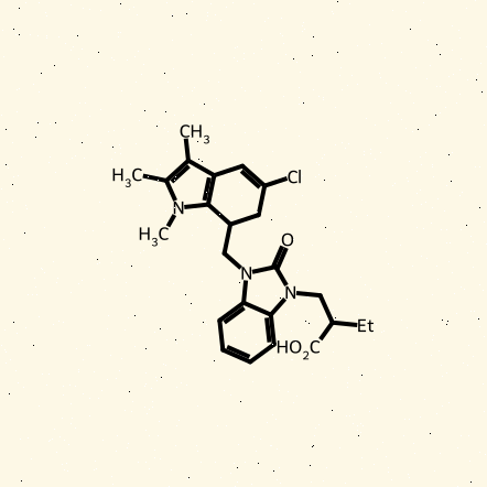 CCC(Cn1c(=O)n(CC2CC(Cl)=Cc3c(C)c(C)n(C)c32)c2ccccc21)C(=O)O